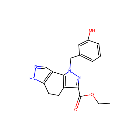 CCOC(=O)c1nn(Cc2cccc(O)c2)c2c1CCc1[nH]ncc1-2